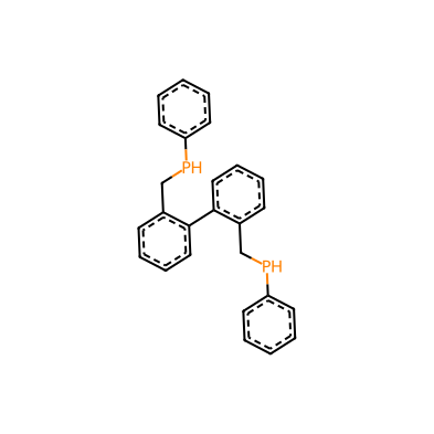 c1ccc(PCc2ccccc2-c2ccccc2CPc2ccccc2)cc1